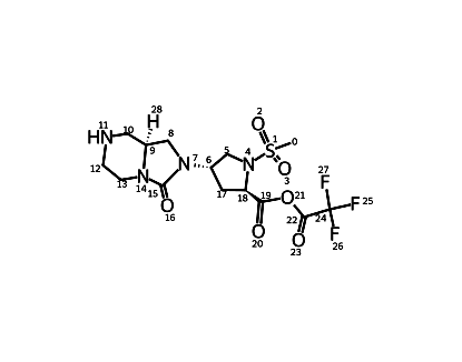 CS(=O)(=O)N1C[C@@H](N2C[C@@H]3CNCCN3C2=O)C[C@@H]1C(=O)OC(=O)C(F)(F)F